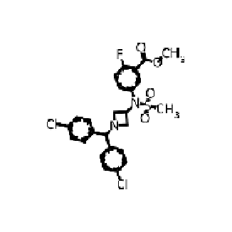 COC(=O)c1cc(N(C2CN(C(c3ccc(Cl)cc3)c3ccc(Cl)cc3)C2)S(C)(=O)=O)ccc1F